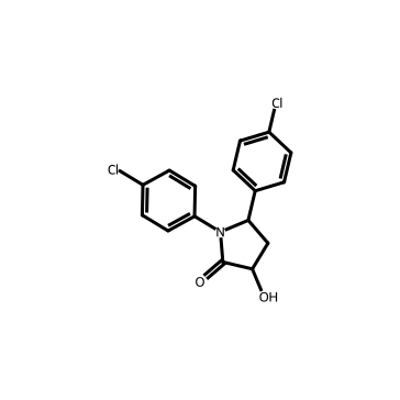 O=C1C(O)CC(c2ccc(Cl)cc2)N1c1ccc(Cl)cc1